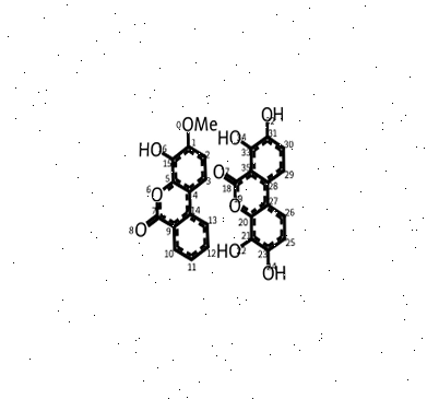 COc1ccc2c(oc(=O)c3ccccc32)c1O.O=c1oc2c(O)c(O)ccc2c2ccc(O)c(O)c12